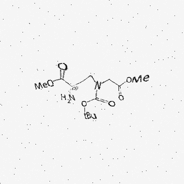 COC(=O)CN(C[C@H](N)C(=O)OC)C(=O)OC(C)(C)C